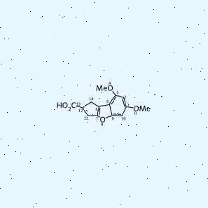 COc1cc(OC)c2c3c(oc2c1)CC(C(=O)O)C3